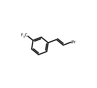 CC(C)/C=C/c1cccc(C(F)(F)F)c1